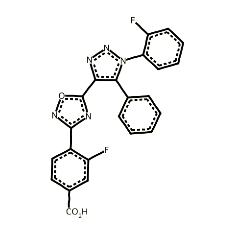 O=C(O)c1ccc(-c2noc(-c3nnn(-c4ccccc4F)c3-c3ccccc3)n2)c(F)c1